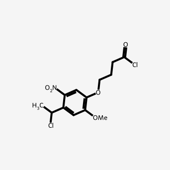 COc1cc(C(C)Cl)c([N+](=O)[O-])cc1OCCCC(=O)Cl